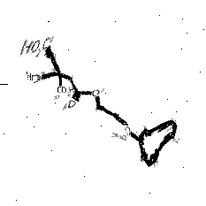 O=C(O)CC(O)(CC(=O)OCCOc1ccccc1)C(=O)O